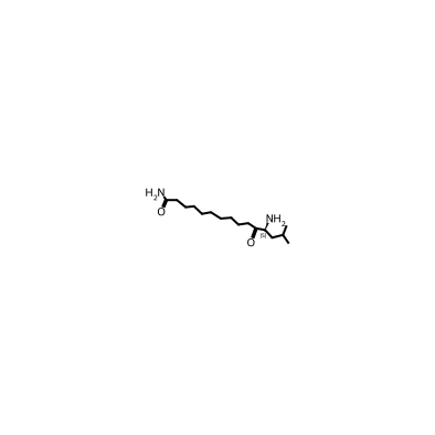 CC(C)C[C@H](N)C(=O)CCCCCCCCCC(N)=O